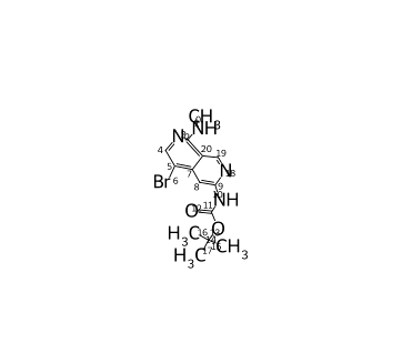 CNc1ncc(Br)c2cc(NC(=O)OC(C)(C)C)ncc12